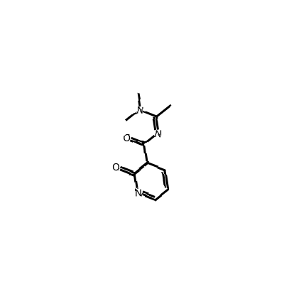 CC(=NC(=O)C1C=CC=NC1=O)N(C)C